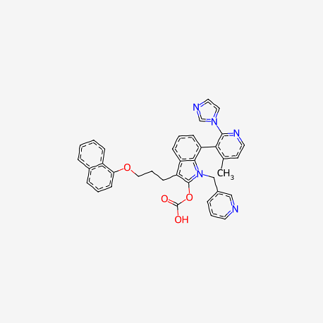 Cc1ccnc(-n2ccnc2)c1-c1cccc2c(CCCOc3cccc4ccccc34)c(OC(=O)O)n(Cc3cccnc3)c12